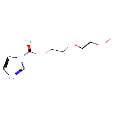 COCCOCCOC(=O)n1ccnc1